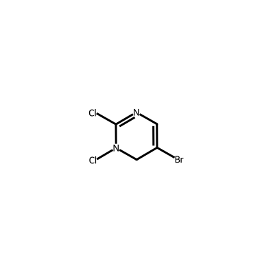 ClC1=NC=C(Br)CN1Cl